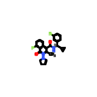 Cc1c(C(=O)N[C@H](c2cccc(F)c2)C2CC2)c2cccc(F)c2c(=O)n1N1C=CCC1